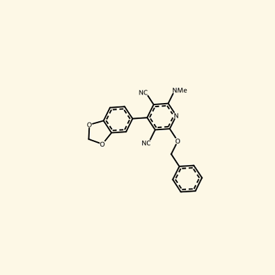 CNc1nc(OCc2ccccc2)c(C#N)c(-c2ccc3c(c2)OCO3)c1C#N